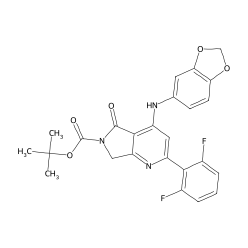 CC(C)(C)OC(=O)N1Cc2nc(-c3c(F)cccc3F)cc(Nc3ccc4c(c3)OCO4)c2C1=O